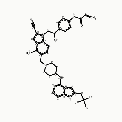 C=CC(=O)Nc1ccc(C(O)Cn2c(C#N)cc3c(C)c(CN4CCC(Nc5ncnc6sc(CC(F)(F)F)cc56)CC4)ccc32)cn1